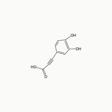 O=C(O)C#Cc1ccc(O)c(O)c1